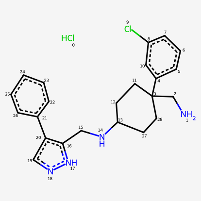 Cl.NCC1(c2cccc(Cl)c2)CCC(NCc2[nH]ncc2-c2ccccc2)CC1